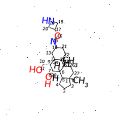 C[C@@]12CCC[C@H]1[C@@H]1[C@H](O)[C@H](CO)C3CC(=NOC4CNC4)CC[C@]3(C)[C@H]1CC2